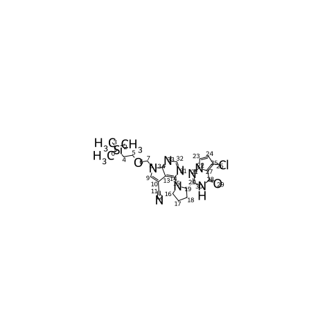 C[Si](C)(C)CCOCn1cc(C#N)c2c(N3CCC[C@H]3c3nn4ccc(Cl)c4c(=O)[nH]3)ncnc21